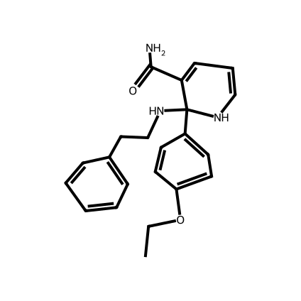 CCOc1ccc(C2(NCCc3ccccc3)NC=CC=C2C(N)=O)cc1